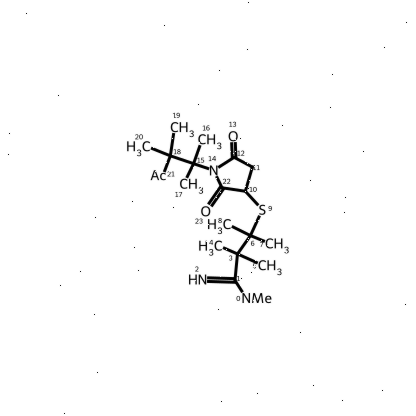 CNC(=N)C(C)(C)C(C)(C)SC1CC(=O)N(C(C)(C)C(C)(C)C(C)=O)C1=O